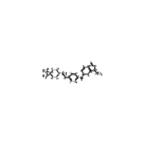 Cn1cnc2ccc(Oc3ccc(CNC4CCC(C)(C)CC4)cc3)cc21